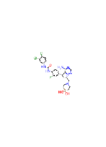 Nc1ncnn2c(CN3CCS(O)(O)CC3)cc(-c3ccc(NC(=O)Nc4ccc(Cl)c(Cl)c4)c(F)c3)c12